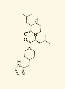 CC(C)CC1NCCN([C@@H](CC(C)C)C(=O)N2CCC(Cc3ncc[nH]3)CC2)C1=O